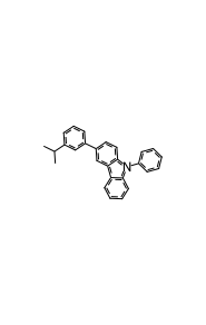 CC(C)c1cccc(-c2ccc3c(c2)c2ccccc2n3-c2ccccc2)c1